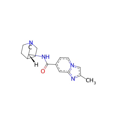 Cc1cn2ccc(C(=O)N[C@H]3CN4CCC3CC4)cc2n1